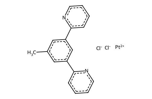 Cc1cc(-c2ccccn2)cc(-c2ccccn2)c1.[Cl-].[Cl-].[Pt+2]